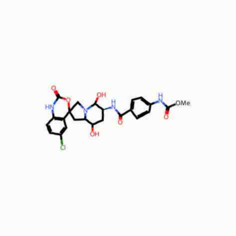 COC(=O)Nc1ccc(C(=O)N[C@H]2CC(O)C3CC4(CN3C2O)OC(=O)Nc2ccc(Cl)cc24)cc1